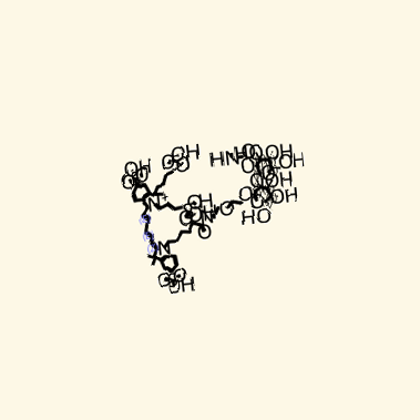 CNC(=O)O[C@@H]1[C@@H](O[C@@H]2[C@@H](OCCOCCNC(=O)CCCCCN3\C(=C/C=C/C=C/C4=[N+](CCCCS(=O)(=O)O)C(C)(CCCCS(=O)(=O)O)c5cc(S(=O)(=O)O)ccc54)C(C)(C)c4cc(S(=O)(=O)O)ccc43)O[C@@H](CO)[C@@H](O)[C@@H]2O)O[C@H](CO)[C@@H](O)[C@@H]1O